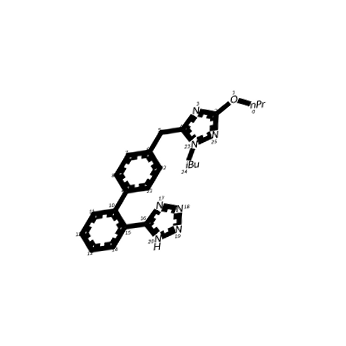 CCCOc1nc(Cc2ccc(-c3ccccc3-c3nnn[nH]3)cc2)n(C(C)CC)n1